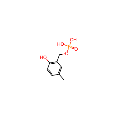 Cc1ccc(O)c(COP(=O)(O)O)c1